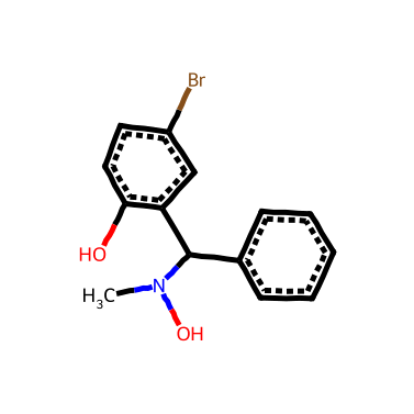 CN(O)C(c1ccccc1)c1cc(Br)ccc1O